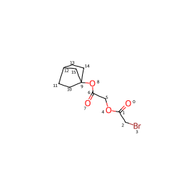 O=C(CBr)OCC(=O)OC12CCC(CC1)C2